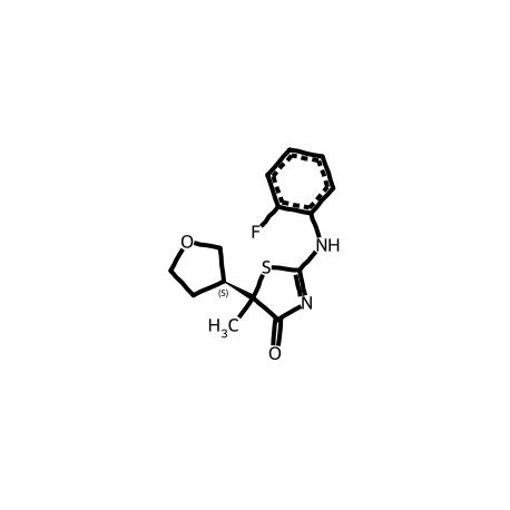 CC1([C@H]2CCOC2)SC(Nc2ccccc2F)=NC1=O